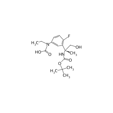 CCN(C(=O)O)c1ccc(F)c([C@](C)(CO)NC(=O)OC(C)(C)C)c1